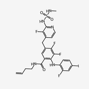 C=CCCNC(=O)c1cc(Cc2ccnc(NS(=O)(=O)NC)c2F)c(F)c(F)c1Nc1ccc(I)cc1F